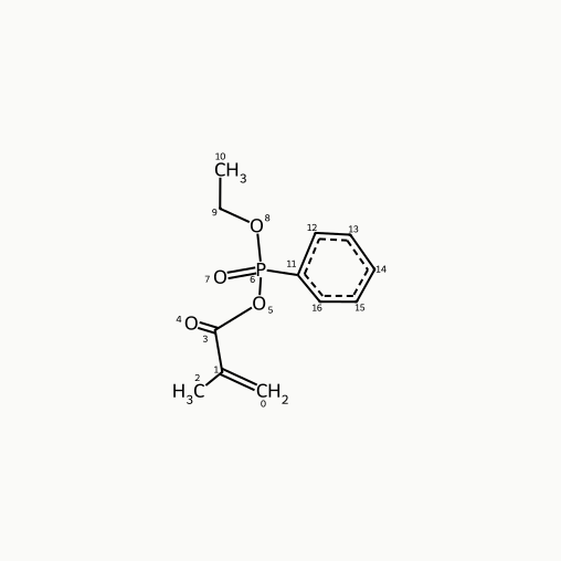 C=C(C)C(=O)OP(=O)(OCC)c1ccccc1